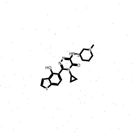 CN1CCC[C@@H](Nc2nnc(-c3ccc4sccc4c3O)n(C3CC3)c2=O)C1